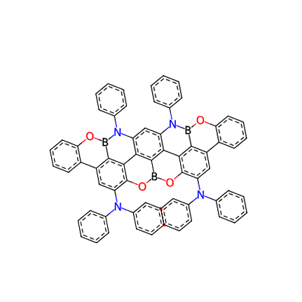 c1ccc(N2B3Oc4ccccc4-c4cc(N(c5ccccc5)c5ccccc5)c5c(c43)-c3c2cc2c4c3B(O5)Oc3c(N(c5ccccc5)c5ccccc5)cc5c(c3-4)B(Oc3ccccc3-5)N2c2ccccc2)cc1